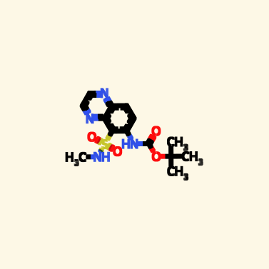 CNS(=O)(=O)c1c(NC(=O)OC(C)(C)C)ccc2nccnc12